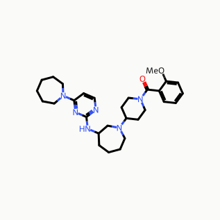 COc1ccccc1C(=O)N1CCC(N2CCCCC(Nc3nccc(N4CCCCCC4)n3)C2)CC1